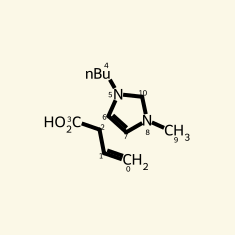 C=CCC(=O)O.CCCCN1C=CN(C)C1